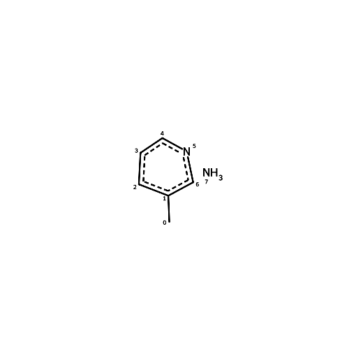 Cc1cccnc1.N